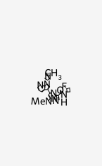 CNc1cc(-c2cn(C3CN(C)C3)c3ncccc23)nc2c(C(=O)NC3CC[C@@H]3F)cnn12